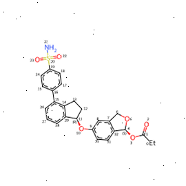 CCC(=O)O[C@@H]1OCc2cc(O[C@@H]3CCc4c(-c5ccc(S(N)(=O)=O)cc5)cccc43)ccc21